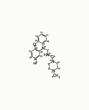 CN1CCN(ONCN2c3ccccc3Oc3ccc(F)cc32)CC1